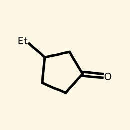 [CH2]CC1CCC(=O)C1